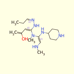 C=C(O)/C=C(/N/N=C\CC)N(C)/C(=C\NC)NC1CCNCC1